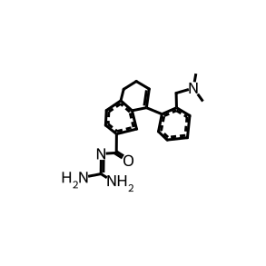 CN(C)Cc1ccccc1C1=CCCc2ccc(C(=O)N=C(N)N)cc21